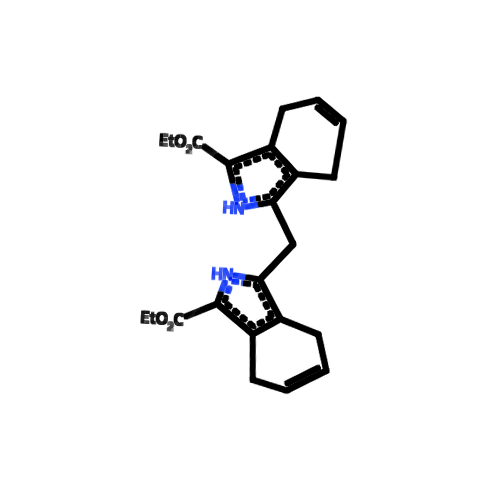 CCOC(=O)c1[nH]c(Cc2[nH]c(C(=O)OCC)c3c2CC=CC3)c2c1CC=CC2